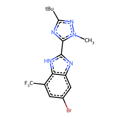 Cn1nc(C(C)(C)C)nc1-c1nc2cc(Br)cc(C(F)(F)F)c2[nH]1